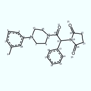 Cc1cccc(N2CCN(C(=O)C(c3ccccc3)N3C(=O)CCC3=O)CC2)c1